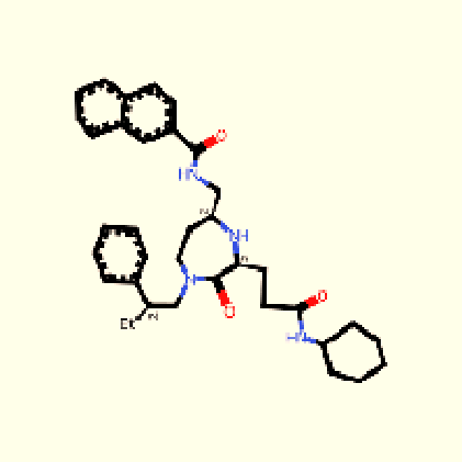 CC[C@H](CN1CC[C@@H](CNC(=O)c2ccc3ccccc3c2)N[C@@H](CCC(=O)NC2CCCCC2)C1=O)c1ccccc1